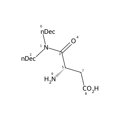 CCCCCCCCCCN(CCCCCCCCCC)C(=O)[C@@H](N)CC(=O)O